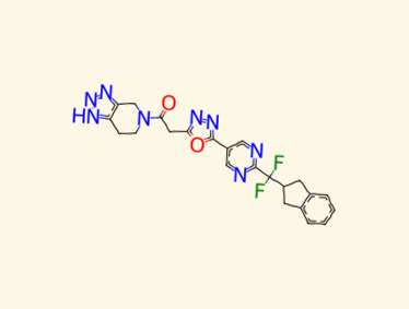 O=C(Cc1nnc(-c2cnc(C(F)(F)C3Cc4ccccc4C3)nc2)o1)N1CCc2[nH]nnc2C1